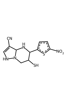 N#CC1=CNN2CC(S)C(c3ccc([N+](=O)[O-])s3)NC12